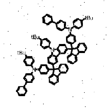 CC(C)(C)c1ccc(N(c2ccc(-c3ccccc3)cc2)c2ccc(C3(c4ccc5c(c4)c4cc(C6(c7ccc(N(c8ccc(-c9ccccc9)cc8)c8ccc(C(C)(C)C)cc8)cc7)c7ccccc7-c7ccccc76)ccc4n5-c4ccc(C(C)(C)C)cc4)c4ccccc4-c4ccccc43)cc2)cc1